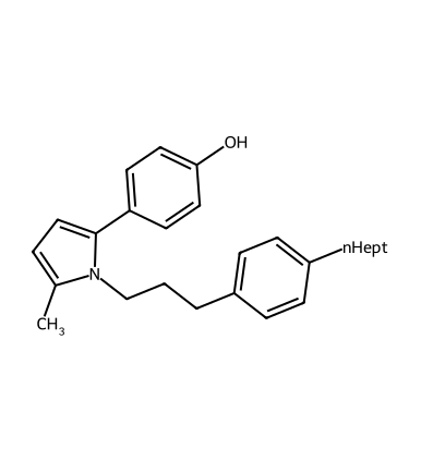 CCCCCCCc1ccc(CCCn2c(C)ccc2-c2ccc(O)cc2)cc1